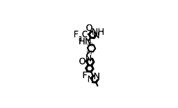 Cc1cnc(-c2cc3ccn(C[C@@H]4CCC[C@H](Nc5cn[nH]c(=O)c5C(F)(F)F)C4)c(=O)c3cc2F)nc1